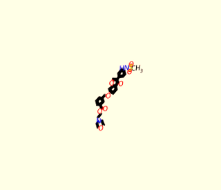 CS(=O)(=O)Nc1ccc(-c2coc3cc(OCc4cccc(C(=O)OCCN5CCOCC5)c4)ccc3c2=O)cc1